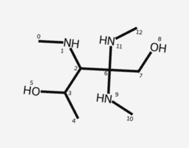 CNC(C(C)O)C(CO)(NC)NC